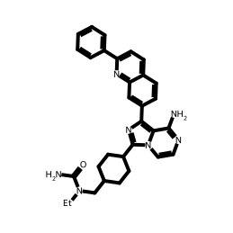 CCN(CC1CCC(c2nc(-c3ccc4ccc(-c5ccccc5)nc4c3)c3c(N)nccn23)CC1)C(N)=O